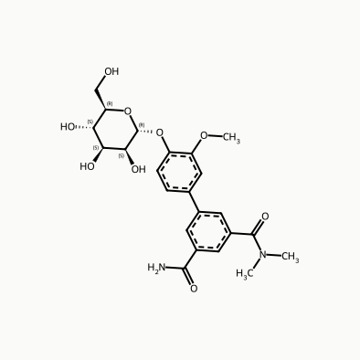 COc1cc(-c2cc(C(N)=O)cc(C(=O)N(C)C)c2)ccc1O[C@H]1O[C@H](CO)[C@@H](O)[C@H](O)[C@@H]1O